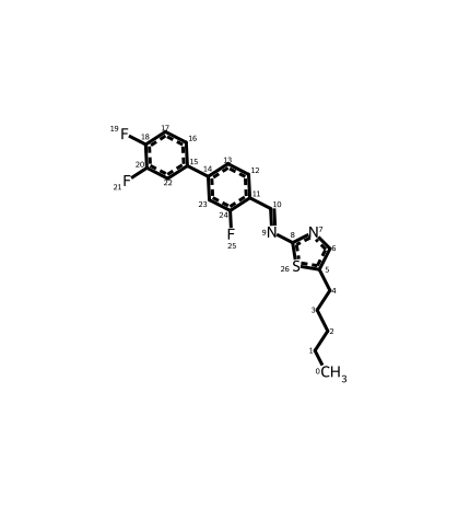 CCCCCc1cnc(N=Cc2ccc(-c3ccc(F)c(F)c3)cc2F)s1